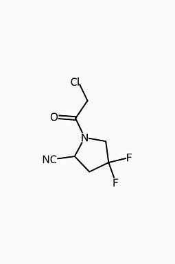 N#CC1CC(F)(F)CN1C(=O)CCl